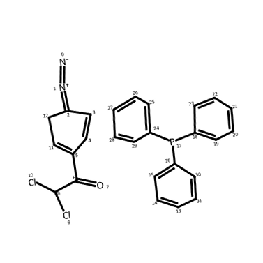 [N-]=[N+]=C1C=CC(C(=O)C(Cl)Cl)=CC1.c1ccc(P(c2ccccc2)c2ccccc2)cc1